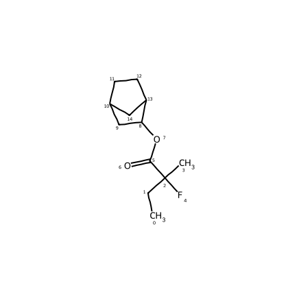 CCC(C)(F)C(=O)OC1CC2CCC1C2